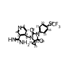 N=C(N)c1cnccc1CN1C(=O)N(c2ccc(SC(F)(F)F)cc2)C(=O)C12CC2